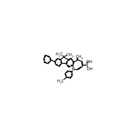 C=C1/C=C(B(O)O)\C=C/N(c2ccc(C)cc2)c2cc3c(cc21)C(C)(C)c1cc(-c2ccccc2)ccc1-3